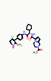 CC(=O)N1CCn2c(ccc2C(=O)N[C@H](C(=O)Nc2ccc(-c3c(Cl)cc[n+]([O-])c3C)cc2)C2CCCCC2)C1